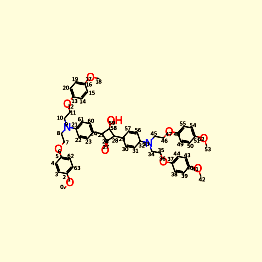 COc1ccc(OCCN(CCOc2ccc(OC)cc2)c2ccc(C3C(=O)C(C4C=CC(N(CCOc5ccc(OC)cc5)CCOc5ccc(OC)cc5)C=C4)C3O)cc2)cc1